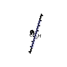 CC(C)=CCC/C(C)=C/C=C/C(C)=C/C=C/C(C)=C/C=C/C=C(C)/C=C/C=C(C)/C=C/C=C(\C)CCC=C(C)C.O=C(O)c1ccccn1